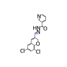 O=C(N/N=C/C1=Cc2cc(Cl)cc(Cl)c2OC1)c1cccnc1